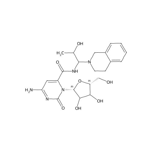 [CH2]C(O)C(NC(=O)c1cc(N)nc(=O)n1[C@@H]1O[C@H](CO)C(O)C1O)N1CCc2ccccc2C1